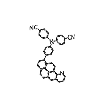 N#Cc1ccc(N(c2ccc(C#N)cc2)c2ccc(-c3ccc4ccc5cc6cccnc6c6ccc3c4c56)cc2)cc1